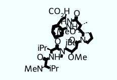 CC[C@H](C)[C@@H]([C@@H](CC(=O)N1CCC[C@H]1[C@H](OC)[C@@H](C)C(=O)N[C@@H](Cc1ccccc1N)C(=O)O)OC)N(C)C(=O)[C@@H](NC(=O)[C@@H](NC)C(C)C)C(C)C